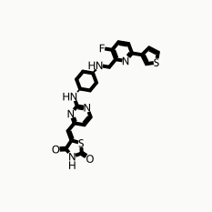 O=C1NC(=O)/C(=C/c2ccnc(N[C@H]3CC[C@H](NCc4nc(-c5ccsc5)ccc4F)CC3)n2)S1